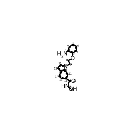 Nc1ccccc1OCCn1ccc2ccc(C(=O)NO)cc21